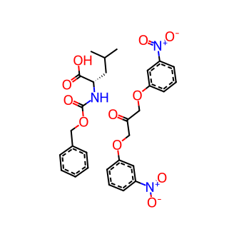 CC(C)C[C@H](NC(=O)OCc1ccccc1)C(=O)O.O=C(COc1cccc([N+](=O)[O-])c1)COc1cccc([N+](=O)[O-])c1